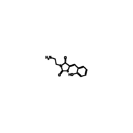 NCCN1C(=O)SC(=Cc2ccccc2O)C1=O